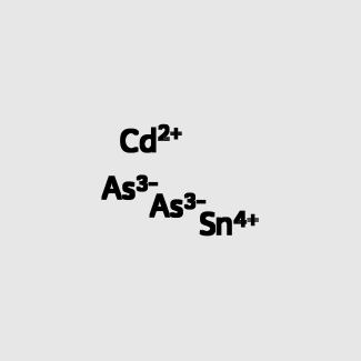 [As-3].[As-3].[Cd+2].[Sn+4]